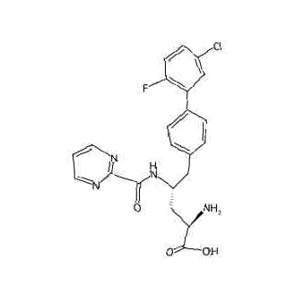 N[C@H](C[C@@H](Cc1ccc(-c2cc(Cl)ccc2F)cc1)NC(=O)c1ncccn1)C(=O)O